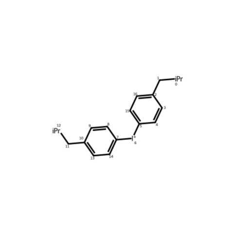 CC(C)Cc1ccc([I+]c2ccc(CC(C)C)cc2)cc1